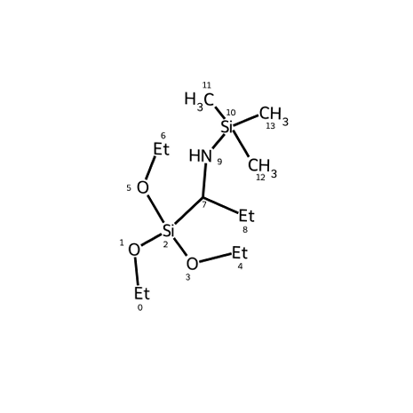 CCO[Si](OCC)(OCC)C(CC)N[Si](C)(C)C